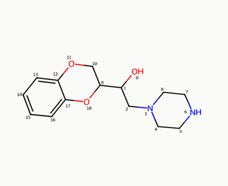 OC(CN1CCNCC1)C1COc2ccccc2O1